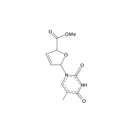 COC(=O)C1C=CC(n2cc(C)c(=O)[nH]c2=O)O1